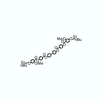 CCCCC(CC)COc1ccc(C(=O)Oc2ccc(C(=O)Oc3ccc(-c4ccc(OC(=O)c5ccc(OC(=O)c6ccc(OCC(CC)CCCC)cc6OC)cc5)cc4)cc3)cc2)c(OC)c1